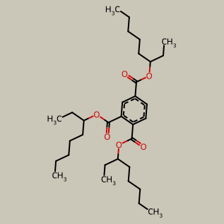 CCCCCC(CC)OC(=O)c1ccc(C(=O)OC(CC)CCCCC)c(C(=O)OC(CC)CCCCC)c1